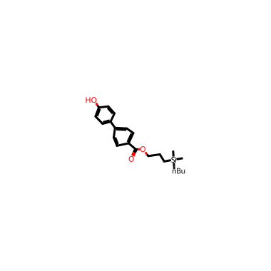 CCCC[Si](C)(C)CCCOC(=O)c1ccc(-c2ccc(O)cc2)cc1